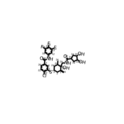 C=C1C[C@H](Sc2cc(C(=O)Nc3cc(F)c(F)c(F)c3)ccc2Cl)CC(C)[C@]1(O)CNC(=O)C1CC(O)C(O)C1